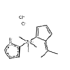 CC(C)=C1C=CC=[C]1[Zr+2]([CH3])([CH3])([CH3])[c]1ccc[pH]1.[Cl-].[Cl-]